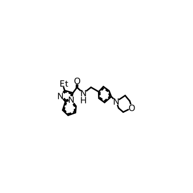 CCc1nc2ccccn2c1C(=O)NCc1ccc(N2CCOCC2)cc1